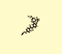 C#CCOc1cnc(C(=O)Nc2ccc(F)c([C@@]3(C)C[C@@H](C(F)(F)F)OC(N)=N3)c2)cn1